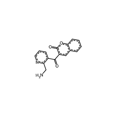 NCc1ncccc1C(=O)c1cc2ccccc2oc1=O